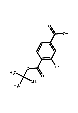 CC(C)(C)OC(=O)c1ccc(C(=O)O)cc1Br